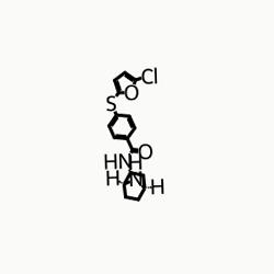 O=C(N[C@@H]1C[C@H]2CC[C@@H]1N2)c1ccc(Sc2ccc(Cl)o2)cc1